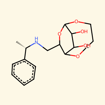 C[C@H](NCC1OC2OCCCOC1C(O)C2O)c1ccccc1